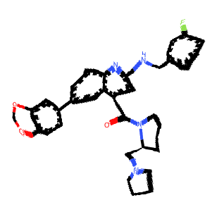 O=C(c1cc(NCc2cccc(F)c2)nc2ccc(-c3ccc4c(c3)OCO4)cc12)N1CCC[C@H]1CN1CCCC1